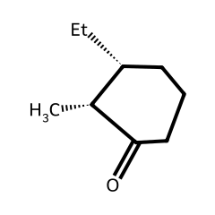 CC[C@@H]1CCCC(=O)[C@@H]1C